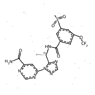 C[C@H](NC(=O)c1cc(OC(F)(F)F)cc(S(C)(=O)=O)c1)c1ncnn1-c1cc(C(N)=O)ncn1